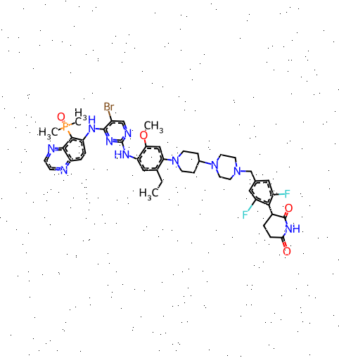 CCc1cc(Nc2ncc(Br)c(Nc3ccc4nccnc4c3P(C)(C)=O)n2)c(OC)cc1N1CCC(N2CCN(Cc3cc(F)c(C4CCC(=O)NC4=O)c(F)c3)CC2)CC1